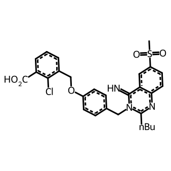 CCCCc1nc2ccc(S(C)(=O)=O)cc2c(=N)n1Cc1ccc(OCc2cccc(C(=O)O)c2Cl)cc1